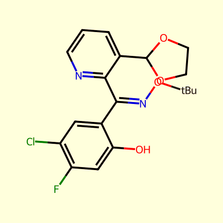 CC(C)(C)O/N=C(/c1cc(Cl)c(F)cc1O)c1ncccc1C1OCCO1